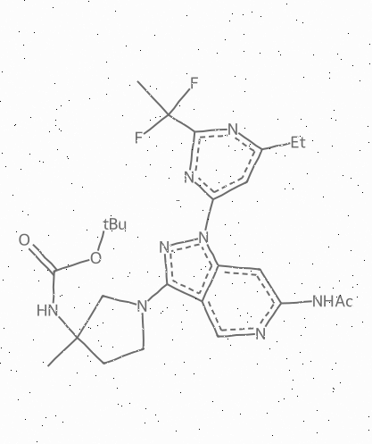 CCc1cc(-n2nc(N3CCC(C)(NC(=O)OC(C)(C)C)C3)c3cnc(NC(C)=O)cc32)nc(C(C)(F)F)n1